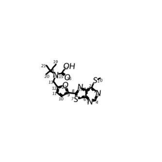 CSc1ncnc2sc(-c3ccc(CN(C(=O)O)C(C)(C)C)o3)nc12